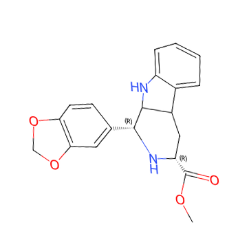 COC(=O)[C@H]1CC2c3ccccc3NC2[C@@H](c2ccc3c(c2)OCO3)N1